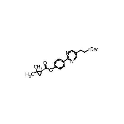 CCCCCCCCCCCCc1cnc(-c2ccc(OC(=O)[C@H]3CC3(C)C)cc2)nc1